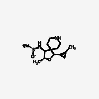 CC1=C(C2O[C@@H](C)[C@@H](N[S@+]([O-])C(C)(C)C)C23CCNCC3)C1